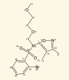 COCCOCN(c1onc(C)c1C)S(=O)(=O)c1ccccc1Br